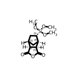 CO[Si](OC)(OC)[C@H]1C[C@@H]2C[C@@H]1[C@H]1C(=O)OC(=O)[C@@H]21